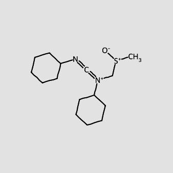 C[S+]([O-])C[N+](=C=NC1CCCCC1)C1CCCCC1